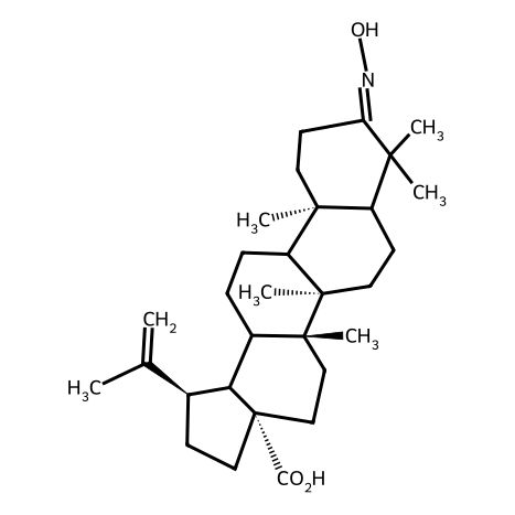 C=C(C)[C@@H]1CC[C@]2(C(=O)O)CC[C@]3(C)C(CCC4[C@@]5(C)CC/C(=N\O)C(C)(C)C5CC[C@]43C)C12